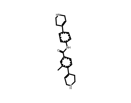 Cc1cc(C(=O)Nc2ccc(C3=CCNCC3)cc2)ccc1C1=CCNCC1